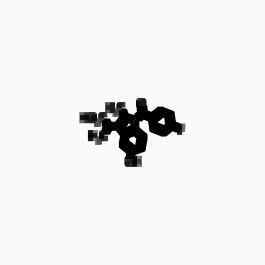 Cc1c(C(C)C(=O)O)c2cc(O)ccc2n1C(=O)c1ccc(F)cc1